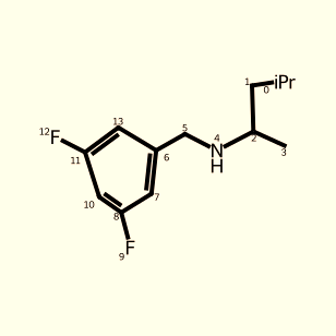 CC(C)CC(C)NCc1cc(F)cc(F)c1